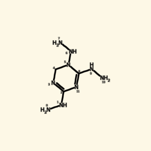 NNC1=NCN(NN)C(NN)=N1